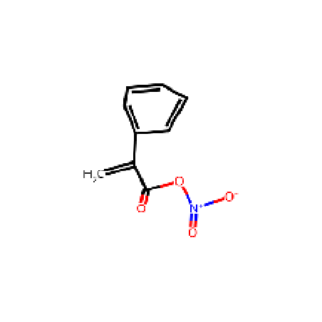 C=C(C(=O)O[N+](=O)[O-])c1ccccc1